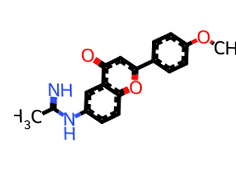 COc1ccc(-c2cc(=O)c3cc(NC(C)=N)ccc3o2)cc1